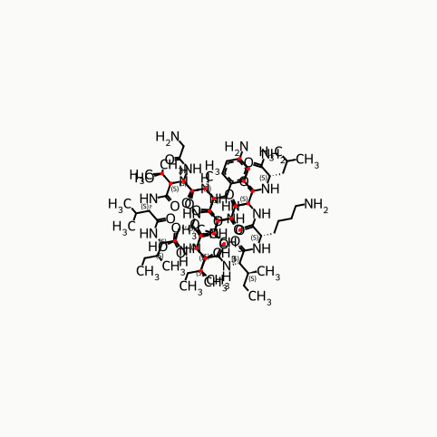 CC[C@H](C)[C@H](NC(=O)[C@H](CC(=O)O)NC(=O)[C@H](Cc1ccccc1)NC(=O)[C@H](CC(C)C)NC(=O)CN)C(=O)N[C@H](C(=O)N[C@@H](CCCCN)C(=O)N[C@@H](CCCCN)C(=O)N[C@H](C(=O)N[C@@H](C)C(=O)N[C@@H](CO)C(=O)N[C@H](C(=O)N[C@H](C(=O)N[C@H](C(=O)NCC(=O)NCC(=O)N[C@@H](CC(C)C)C(N)=O)[C@@H](C)CC)[C@@H](C)CC)C(C)C)C(C)C)[C@@H](C)CC